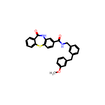 COc1cccc(Cc2cccc(CNC(=O)c3ccc4c(c3)NC(=O)c3ccccc3S4)c2)c1